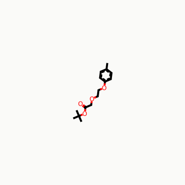 Cc1ccc(OCCOCC(=O)OC(C)(C)C)cc1